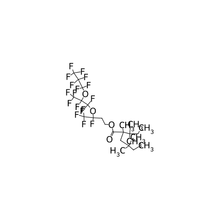 CCC(C)(C)CC(C)(C(=O)OCCC(F)(OC(F)(F)C(F)(OC(F)(F)C(F)(F)C(F)(F)F)C(F)(F)F)C(F)(F)F)C(C)(C)CC